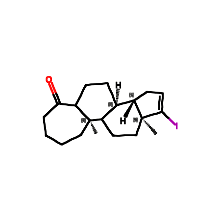 C[C@]12CCCCC(=O)C1CC[C@@H]1C2CC[C@]2(C)C(I)=CC[C@@H]12